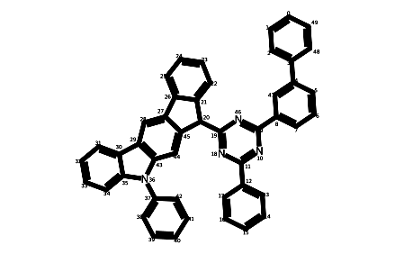 c1ccc(-c2cccc(-c3nc(-c4ccccc4)nc(C4c5ccccc5-c5cc6c7ccccc7n(-c7ccccc7)c6cc54)n3)c2)cc1